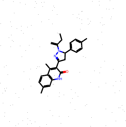 C=C(CC)N1N=C(c2c(C)c3ccc(C)cc3[nH]c2=O)CC1c1ccc(C)cc1